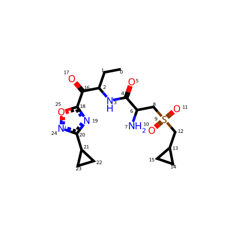 CCC(NC(=O)C(N)CS(=O)(=O)CC1CC1)C(=O)c1nc(C2CC2)no1